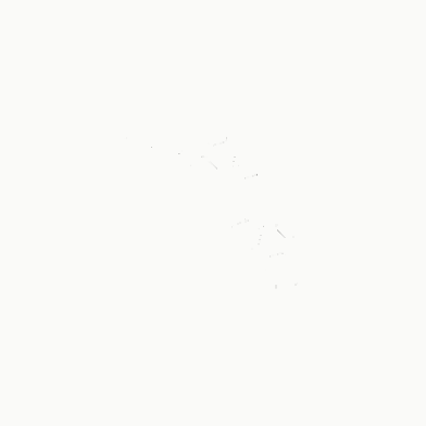 C=C(CCC(=O)c1cccc(CCOCCC)c1)c1ccc2c(c1)OCCC2